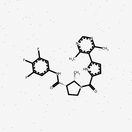 Cc1ncnc(C)c1-c1ccc(C(=O)N2CC[C@H](C(=O)Nc3cc(F)c(F)c(F)c3)[C@@H]2C)[nH]1